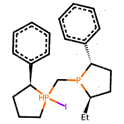 CC[C@@H]1CC[C@@H](c2ccccc2)P1C[PH]1(I)CCC[C@H]1c1ccccc1